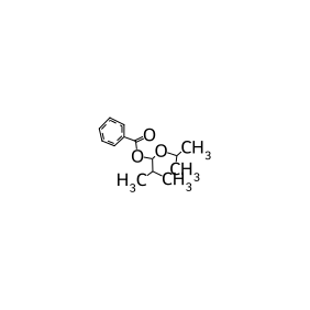 CC(C)OC(OC(=O)c1ccccc1)C(C)C